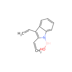 C=Cc1c(C=C)n(BO)c2ccccc12